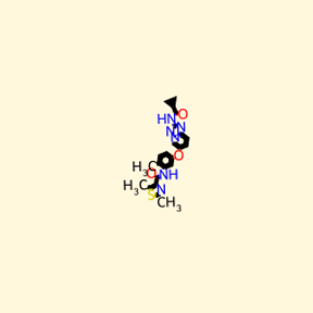 Cc1nc(C(=O)Nc2cc(Oc3ccc4nc(NC(=O)C5CC5)nn4c3)ccc2C)c(C)s1